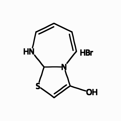 Br.OC1=CSC2NC=CC=CN12